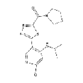 CC(C)Nc1cc(Cl)ncc1-c1nnc(C(=O)N2CCCC2)s1